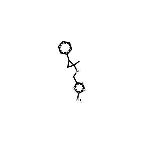 CC1(NCc2nnc(N)o2)CC1c1ccccc1